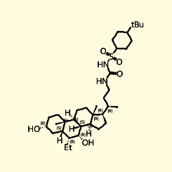 CC[C@H]1[C@@H](O)[C@@H]2[C@H](CC[C@]3(C)[C@@H]([C@H](C)CCNC(=O)NS(=O)(=O)C4CCC(C(C)(C)C)CC4)CC[C@@H]23)[C@@]2(C)CC[C@@H](O)C[C@@H]12